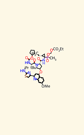 C=C[C@@H]1C[C@]1(NC(=O)[C@@H]1C[C@@H](Oc2cc(-c3csc(NC(C)C)n3)nc3cc(OC)ccc23)CN1C(=O)[C@@H](NC(=O)OC1CCCC1)C(C)(C)C)P(C)(=O)OCOC(=O)OCC